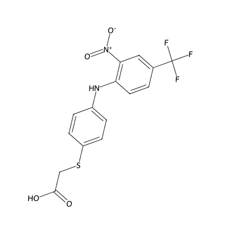 O=C(O)CSc1ccc(Nc2ccc(C(F)(F)F)cc2[N+](=O)[O-])cc1